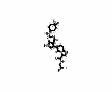 O=C(NCC(F)F)c1cnc2ccc(-c3c[nH]c4nc(NC5CCC(F)(F)CC5)ncc34)cn12